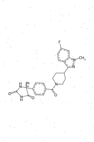 CC(C)[C@]1(c2ccc(C(=O)N3CCC(c4nn(C)c5cc(F)ccc45)CC3)cc2)NC(=O)NC1=O